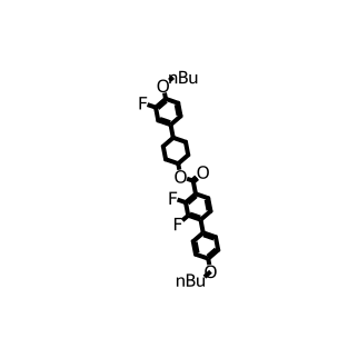 CCCCOc1ccc(-c2ccc(C(=O)OC3CCC(c4ccc(OCCCC)c(F)c4)CC3)c(F)c2F)cc1